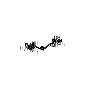 CS(=O)(=O)Nc1cc([C@@H](O)CNCCCCc2ccc(CCCCN(C(=N)N)C(=O)c3nc(Cl)c(N)nc3N)cc2)ccc1O